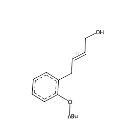 CCCCOc1ccccc1C/C=C/CO